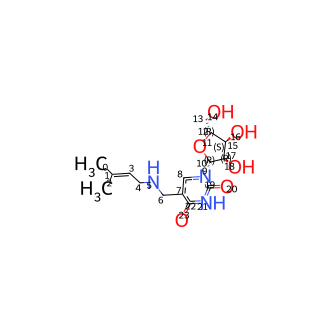 CC(C)=CCNCc1cn([C@@H]2O[C@H](CO)[C@@H](O)[C@H]2O)c(=O)[nH]c1=O